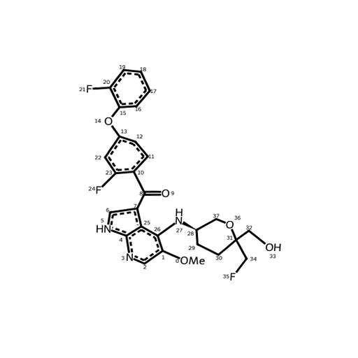 COc1cnc2[nH]cc(C(=O)c3ccc(Oc4ccccc4F)cc3F)c2c1N[C@@H]1CCC(CO)(CF)OC1